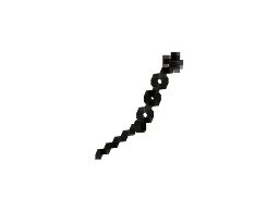 CCCCCCCCCCOC1CCC(c2ccc(C3CCC(C=CC(F)(F)F)CC3)cc2)CC1